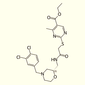 CCOC(=O)c1cnc(SCC(=O)NC[C@H]2CN(Cc3ccc(Cl)c(Cl)c3)CCO2)nc1C